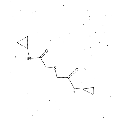 O=C(CSCC(=O)NC1CC1)NC1CC1